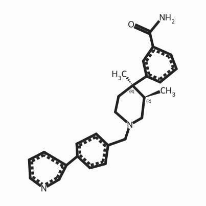 C[C@H]1CN(Cc2ccc(-c3cccnc3)cc2)CC[C@@]1(C)c1cccc(C(N)=O)c1